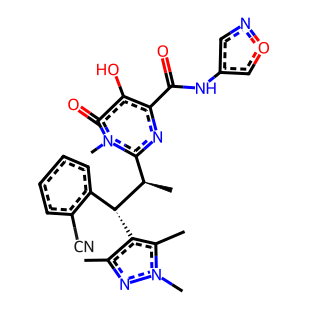 Cc1nn(C)c(C)c1[C@H](c1ccccc1C#N)[C@H](C)c1nc(C(=O)Nc2cnoc2)c(O)c(=O)n1C